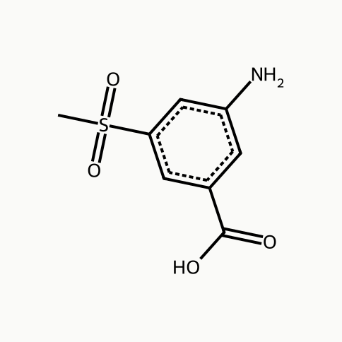 CS(=O)(=O)c1cc(N)cc(C(=O)O)c1